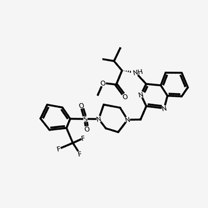 COC(=O)[C@@H](Nc1nc(CN2CCN(S(=O)(=O)c3ccccc3C(F)(F)F)CC2)nc2ccccc12)C(C)C